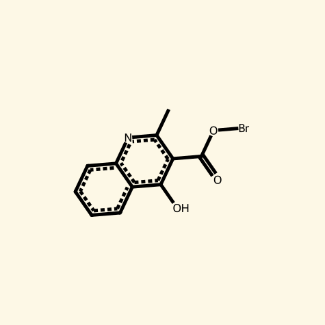 Cc1nc2ccccc2c(O)c1C(=O)OBr